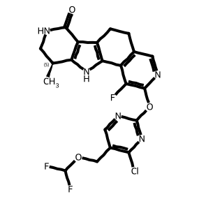 C[C@H]1CNC(=O)c2c1[nH]c1c2CCc2cnc(Oc3ncc(COC(F)F)c(Cl)n3)c(F)c2-1